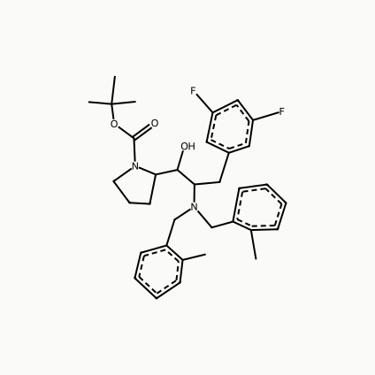 Cc1ccccc1CN(Cc1ccccc1C)C(Cc1cc(F)cc(F)c1)C(O)C1CCCN1C(=O)OC(C)(C)C